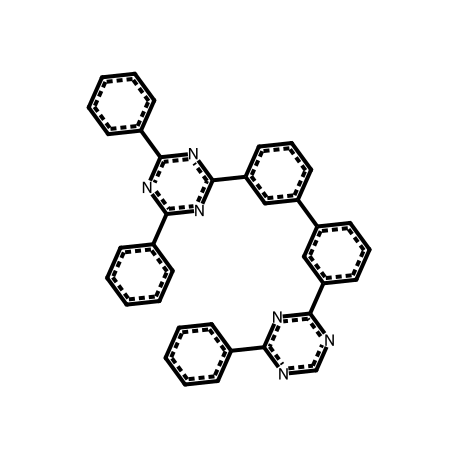 c1ccc(-c2ncnc(-c3cccc(-c4cccc(-c5nc(-c6ccccc6)nc(-c6ccccc6)n5)c4)c3)n2)cc1